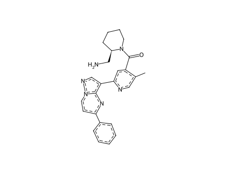 Cc1cnc(-c2cnn3ccc(-c4ccccc4)nc23)cc1C(=O)N1CCCC[C@@H]1CN